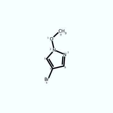 COn1cc(Br)cn1